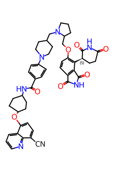 N#Cc1ccc(OC2CCC(NC(=O)c3ccc(N4CCC(CN5CCCC5COc5ccc6c(c5[C@@H]5CCC(=O)NC5=O)C(=O)NC6=O)CC4)cc3)CC2)c2cccnc12